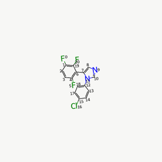 Fc1ccc(F)c(-c2cncn2-c2ccc(Cl)cc2)c1F